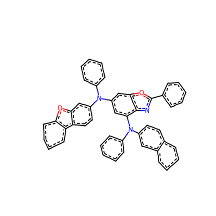 c1ccc(-c2nc3c(N(c4ccccc4)c4ccc5ccccc5c4)cc(N(c4ccccc4)c4ccc5c(c4)oc4ccccc45)cc3o2)cc1